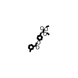 CCOC(=O)[C@H](Cc1ccc(OCC(=O)c2cccc(C)c2)cc1)OCC